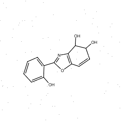 Oc1ccccc1-c1nc2c(o1)C=CC(O)C2O